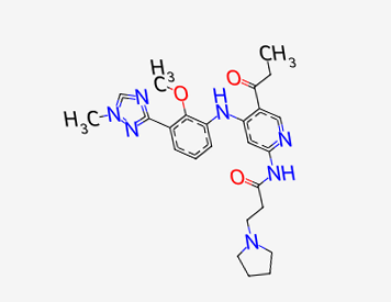 CCC(=O)c1cnc(NC(=O)CCN2CCCC2)cc1Nc1cccc(-c2ncn(C)n2)c1OC